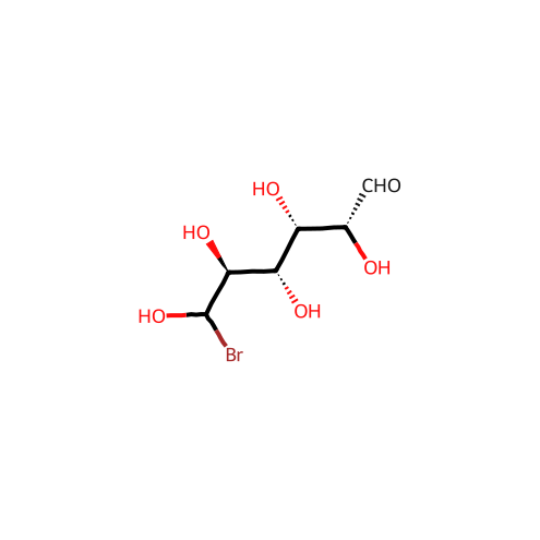 O=C[C@H](O)[C@@H](O)[C@H](O)[C@H](O)C(O)Br